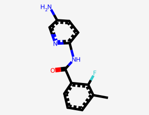 Cc1cccc(C(=O)Nc2ccc(N)cn2)c1F